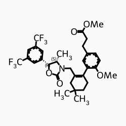 COC(=O)CCc1ccc(OC)c(C2=C(CN3C(=O)O[C@H](c4cc(C(F)(F)F)cc(C(F)(F)F)c4)[C@@H]3C)CC(C)(C)CC2)c1